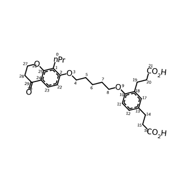 CCCc1c(OCCCCCOc2ccc(CCC(=O)O)cc2CCC(=O)O)ccc2c1OCCC2=O